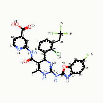 CC1=C(C(=O)Nc2cc(C(=O)O)ccn2)C(c2cccc(CC(F)(F)F)c2Cl)N=C(Nc2nc3ccc(F)cc3o2)N1